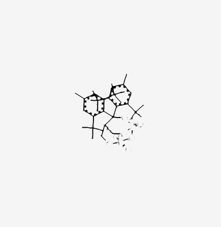 Cc1cc(C(C)(C)C)c(C2(c3c(C(C)(C)C)cc(C)cc3C(C)(C)C)OP3(=O)OCC24COP(=O)(OC4)O3)c(C(C)(C)C)c1